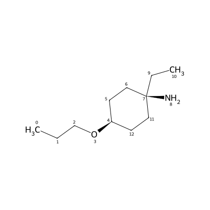 CCCO[C@H]1CC[C@](N)(CC)CC1